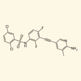 Cc1cc(C#Cc2c(F)ccc(NS(=O)(=O)c3cc(Cl)ccc3Cl)c2F)cnc1N